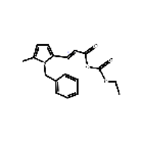 CCOC(=O)OC(=O)/C=C/c1ccc(C)n1Cc1ccccc1